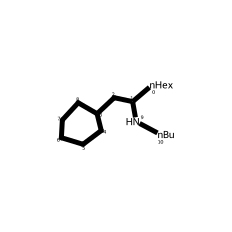 CCCCCCC(CC1CCCCC1)NCCCC